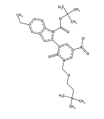 CCc1ccc2c(c1)cc(-c1cc([N+](=O)[O-])cn(COCC[Si](C)(C)C)c1=O)n2C(=O)OC(C)(C)C